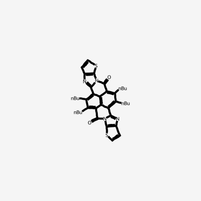 CCCCc1c(CCCC)c2c3c(c(CCCC)c(CCCC)c4c3c1c(=O)n1c4nc3ccsc31)c(=O)n1c2nc2ccsc21